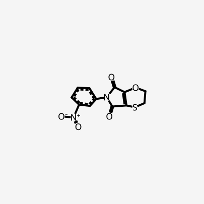 O=C1C2=C(SCCO2)C(=O)N1c1cccc([N+](=O)[O-])c1